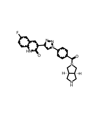 O=C(c1ccc(-n2cc(-c3cc4cc(F)ccc4[nH]c3=O)nn2)cc1)N1C[C@H]2CNC[C@H]2C1